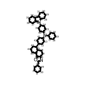 c1ccc(-c2nc3ccc4c(-c5ccc(N(c6ccccc6)c6ccc(-n7c8ccccc8c8ccccc87)cc6)cc5)cccc4c3o2)cc1